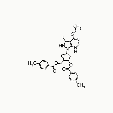 CCSC1=NCNC2=C1C(I)NN2C1CC(OC(=O)c2ccc(C)cc2)C(COC(=O)c2ccc(C)cc2)O1